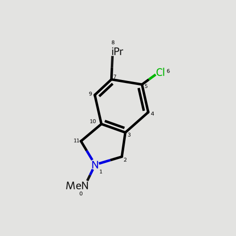 CNN1Cc2cc(Cl)c(C(C)C)cc2C1